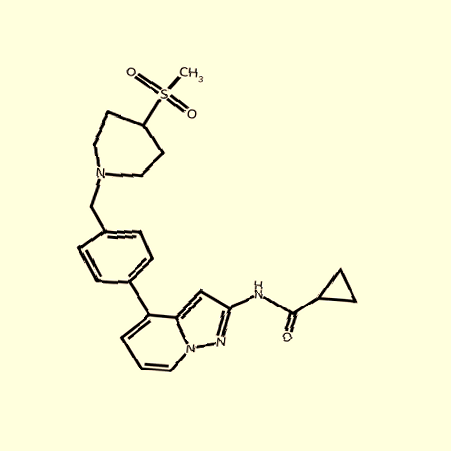 CS(=O)(=O)C1CCN(Cc2ccc(-c3cccn4nc(NC(=O)C5CC5)cc34)cc2)CC1